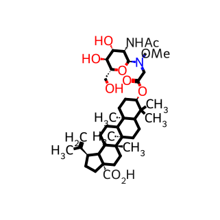 C=C(C)[C@@H]1CC[C@]2(C(=O)O)CC[C@]3(C)C(CCC4[C@@]5(C)CC[C@H](OC(=O)CN(OC)[C@H]6O[C@H](CO)[C@@H](O)[C@H](O)[C@@H]6NC(C)=O)C(C)(C)C5CC[C@]43C)C12